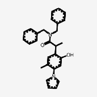 Cc1cc(C(C)C(=O)N(Cc2ccccc2)Cc2ccccc2)c(O)cc1-n1cccc1